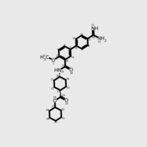 COc1ccc(-c2ccc(C(=N)N)cc2)cc1C(=O)N[C@H]1CC[C@H](C(=O)OC2CCCCC2)CC1